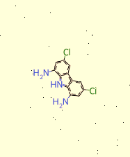 Nc1cc(Cl)cc2c1[nH]c1c(N)cc(Cl)cc12